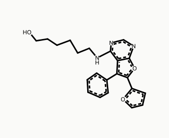 OCCCCCCNc1ncnc2oc(-c3ccco3)c(-c3ccccc3)c12